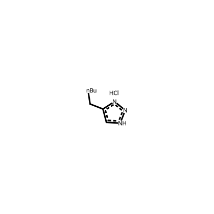 CCCCCc1c[nH]nn1.Cl